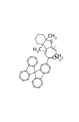 C=C(/C=C1\C(=C/C)SC2(C)CCCCC12C)c1ccc2c(c1)C1(c3ccccc3-c3ccccc31)c1ccccc1-2